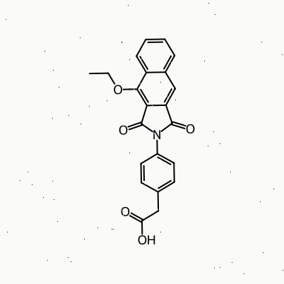 CCOc1c2c(cc3ccccc13)C(=O)N(c1ccc(CC(=O)O)cc1)C2=O